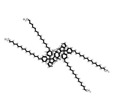 CCCCCCCCCCCCCCCCc1ccc(C2(c3ccc(CCCCCCCCCCCCCCCC)cc3)C3=C(SC4(Br)C=C5C6=C(SC5(Br)C=C34)c3sccc3C6(c3ccc(CCCCCCCCCCCCCCCC)cc3)c3ccc(CCCCCCCCCCCCCCCC)cc3)c3sccc32)cc1